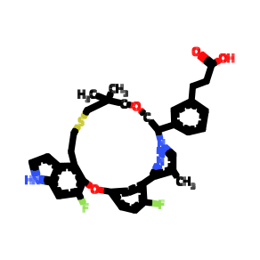 Cc1cn2nc1-c1cc(ccc1F)Oc1c(F)cc3[nH]ccc3c1CCSCC(C)(C)COCC2c1cccc(CCC(=O)O)c1